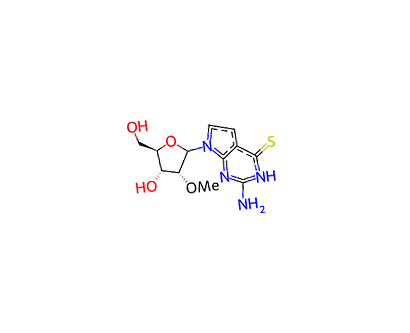 CO[C@H]1C(n2ccc3c(=S)[nH]c(N)nc32)O[C@H](CO)[C@H]1O